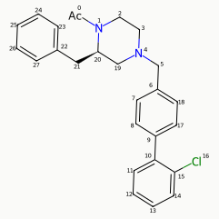 CC(=O)N1CCN(Cc2ccc(-c3ccccc3Cl)cc2)C[C@H]1Cc1ccccc1